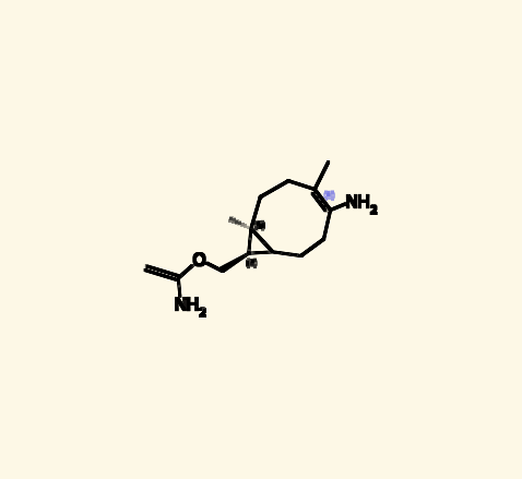 C=C(N)OC[C@@H]1C2CC/C(N)=C(/C)CC[C@@]21C